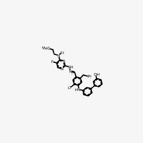 CCN(CCOC)c1nc(N/N=C/c2cc(Cl)c(Nc3cccc(-c4cccc(O)c4)c3)cc2CC(C)C)ncc1F